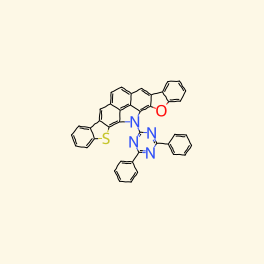 c1ccc(-c2nc(-c3ccccc3)nc(-n3c4c5oc6ccccc6c5cc5ccc6cc7c8ccccc8sc7c3c6c54)n2)cc1